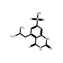 CC(C)Cc1cc(S(=O)(=O)O)cc2[nH]c(=O)[nH]c(=O)c12